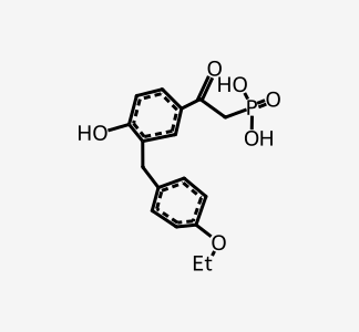 CCOc1ccc(Cc2cc(C(=O)CP(=O)(O)O)ccc2O)cc1